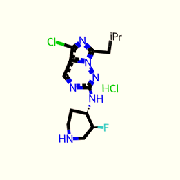 CC(C)Cc1nc(Cl)c2cnc(N[C@H]3CCNC[C@@H]3F)nn12.Cl